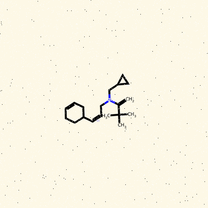 C=C(N(C/C=C\C1CC=CCC1)CC1CC1)C(C)(C)C